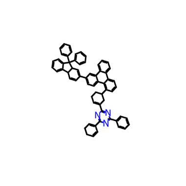 C1=CC(c2nc(C3=CCCC(c4cccc5c6ccccc6c6cc(C7=CC8C(C=C7)c7ccccc7C8(c7ccccc7)c7ccccc7)ccc6c45)C3)nc(-c3ccccc3)n2)=CCC1